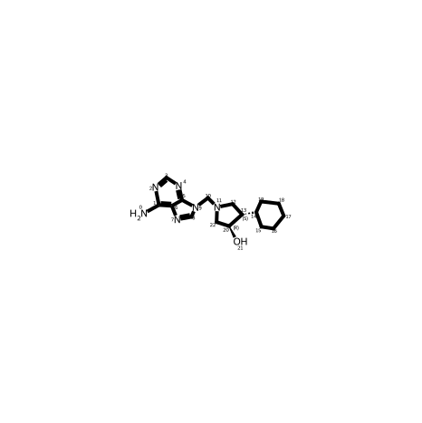 Nc1ncnc2c1ncn2CN1C[C@H](C2CCCCC2)[C@@H](O)C1